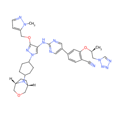 C[C@@H](Cn1cnnn1)Oc1cc(-c2cnc(Nc3cn(C4CCC(N5[C@@H]6CC[C@H]5COC6)CC4)nc3OCc3ccnn3C)nc2)ccc1C#N